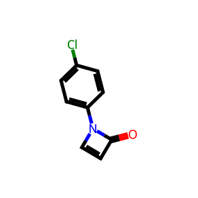 O=C1C=CN1c1ccc(Cl)cc1